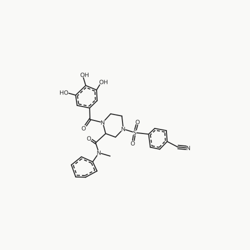 CN(C(=O)C1CN(S(=O)(=O)c2ccc(C#N)cc2)CCN1C(=O)c1cc(O)c(O)c(O)c1)c1ccccc1